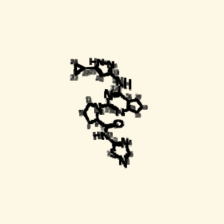 O=C(Nc1ncns1)C1CCCN1c1nc2c(c(Nc3cc(C4CC4)[nH]n3)n1)CCC2